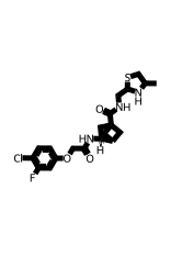 CC1CSC(CNC(=O)C23CC(C2)[C@@H](NC(=O)COc2ccc(Cl)c(F)c2)C3)N1